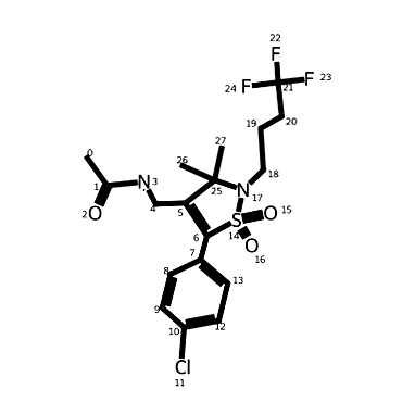 CC(=O)[N]CC1=C(c2ccc(Cl)cc2)S(=O)(=O)N(CCCC(F)(F)F)C1(C)C